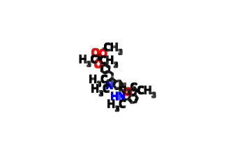 CCOC(=O)C(C)(C)Oc1ccc(Cc2c(C)n(C)c3cc(C(=O)N[C@@H](C)c4cccc(C(C)C)c4)ccc23)cc1